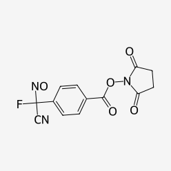 N#CC(F)(N=O)c1ccc(C(=O)ON2C(=O)CCC2=O)cc1